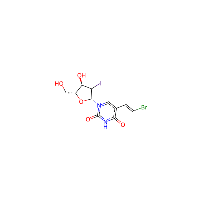 O=c1[nH]c(=O)n([C@@H]2O[C@H](CO)[C@@H](O)C2I)cc1/C=C/Br